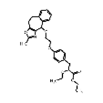 CCOC(=O)C(Cc1ccc(OCCOC2c3ccccc3CCc3oc(C)nc32)cc1)OCC